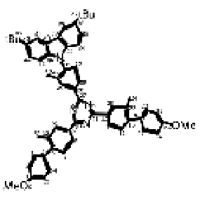 COc1ccc(-c2ccc(-c3nc(-c4ccc(-c5ccc(OC)cc5)c(C)c4)nc(-c4ccc(-n5c6ccc(C(C)(C)C)cc6c6cc(C(C)(C)C)ccc65)c(C)c4)n3)cc2C)cc1